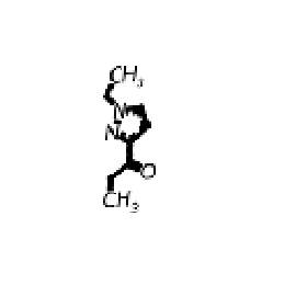 CCC(=O)c1ccn(CC)n1